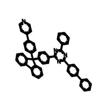 c1ccc(-c2ccc(-c3nc(-c4ccccc4)nc(-c4ccc(C5(c6ccc(-c7ccncc7)cc6)c6ccccc6-c6ccccc65)cc4)n3)cc2)cc1